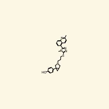 Cc1ccc2c(-c3nnc(SCCCN4CC5CC5(c5ccc(O)cc5)C4)n3C)cccc2n1